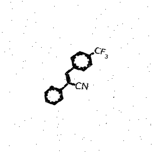 N#C/C(=C\c1ccc(C(F)(F)F)cc1)c1ccccc1